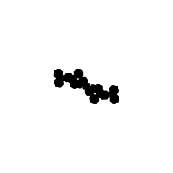 C[Si](C)(c1cccc2c1CC1=C2C2C(C=C1)c1cc(-n3c4ccccc4c4ccccc43)ccc1N2c1ccccc1)c1cccc2c1CC1=C2C2C(C=C1)c1cc(-n3c4ccccc4c4ccccc43)ccc1N2c1ccccc1